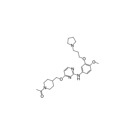 COc1ccc(Nc2nccc(OCC3CCN(C(C)=O)CC3)n2)cc1OCCCN1CCCC1